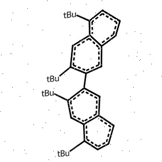 CC(C)(C)c1cc2c(C(C)(C)C)cccc2cc1-c1cc2cccc(C(C)(C)C)c2cc1C(C)(C)C